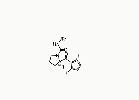 CC(C)NC(=O)N1CCC[C@]1(I)C(=O)c1[nH]ccc1I